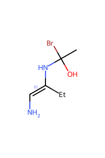 CC/C(=C\N)NC(C)(O)Br